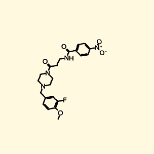 COc1ccc(CN2CCN(C(=O)CCNC(=O)c3ccc([N+](=O)[O-])cc3)CC2)cc1F